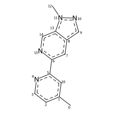 Cc1ccnc(-c2cc3cnn(C)c3cn2)c1